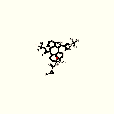 [2H]C([2H])([2H])n1cc(-c2[nH]c3ncc4c(c3c2-c2ccc(OC)cc2)n(C2CCC(C)(NC(=O)[C@H]3C[C@H]3F)CC2)c(=O)n4C([2H])([2H])[2H])c(F)n1